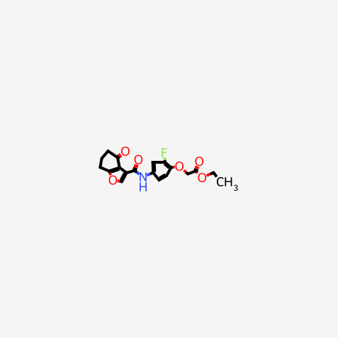 CCOC(=O)COc1ccc(NC(=O)c2coc3c2C(=O)CCC3)cc1F